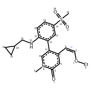 CCO/C=C\c1cc(=O)n(C)cc1-c1cc(S(C)(=O)=O)ccc1NCC1CC1